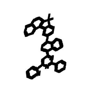 CC1(C)c2ccc(-c3ccc(-c4cc(-c5ccccn5)nc(-c5ccccc5)n4)c4ccccc34)cc2-c2c1ccc1ccccc21